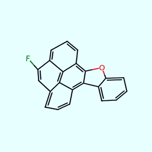 Fc1cc2cccc3c4c5ccccc5oc4c4cccc1c4c23